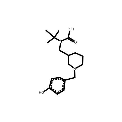 CC(C)(C)N(CC1CCCN(Cc2ccc(O)cc2)C1)C(=O)O